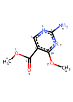 COC(=O)c1cnc(N)nc1OC